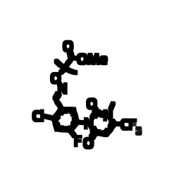 COC(=O)C(C)(C)O/N=C/c1cc(-n2c(=O)cc(C(F)(F)F)n(C)c2=O)c(F)cc1Cl